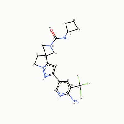 Nc1ncc(-c2cc3n(n2)CCC32CN(C(=O)NC3CCC3)C2)cc1C(F)(F)F